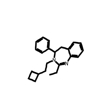 CCC1=Nc2ccccc2CC(c2ccccc2)N1CCC1CCC1